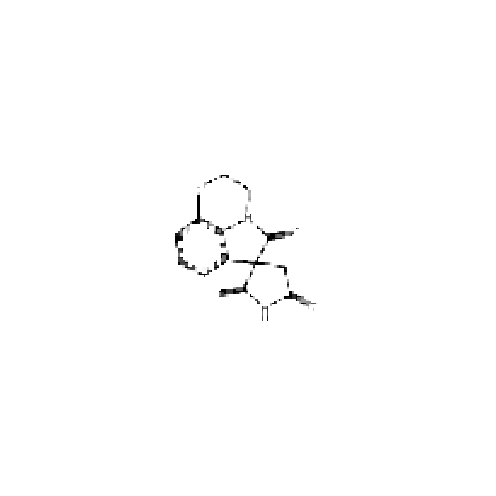 O=C1CC2(C(=O)N1)C(=O)N1CCSc3cccc2c31